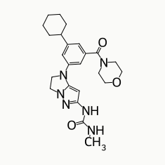 CNC(=O)Nc1cc2n(n1)CCN2c1cc(C(=O)N2CCOCC2)cc(C2CCCCC2)c1